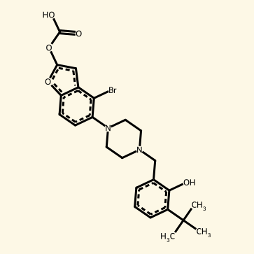 CC(C)(C)c1cccc(CN2CCN(c3ccc4oc(OC(=O)O)cc4c3Br)CC2)c1O